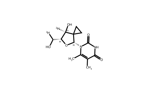 [2H]C(O)[C@H]1O[C@@H](n2c(C)c(C)c(=O)[nH]c2=O)C2(CC2)[C@]1([2H])O